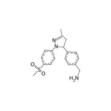 CC1=NN(c2ccc(S(C)(=O)=O)cc2)C(c2ccc(CN)cc2)C1